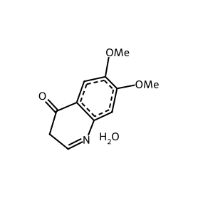 COc1cc2c(cc1OC)C(=O)CC=N2.O